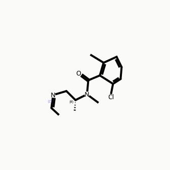 C/C=N\C[C@@H](C)N(C)C(=O)c1c(C)cccc1Cl